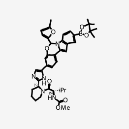 COC(=O)N[C@H](C(=O)N1CCCC[C@H]1c1ncc(-c2ccc3c(c2)OC(c2ccc(C)o2)n2c-3cc3cc(B4OC(C)(C)C(C)(C)O4)ccc32)[nH]1)C(C)C